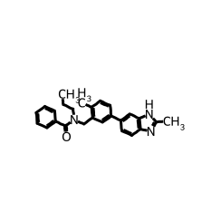 CCCN(Cc1cc(-c2ccc3nc(C)[nH]c3c2)ccc1C)C(=O)c1ccccc1